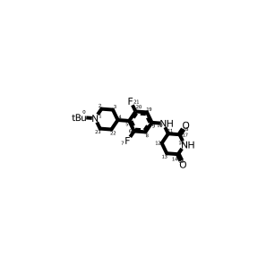 CC(C)(C)N1CCC(c2c(F)cc(NC3CCC(=O)NC3=O)cc2F)CC1